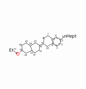 CCCCCCCc1ccc2c(c1)CCC(C1CCC3CC(OCC)CCC3C1)C2